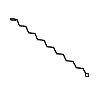 C=CCCCCCCCCCCCCCCCl